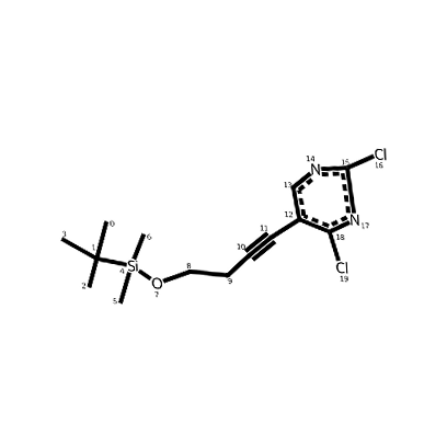 CC(C)(C)[Si](C)(C)OCCC#Cc1cnc(Cl)nc1Cl